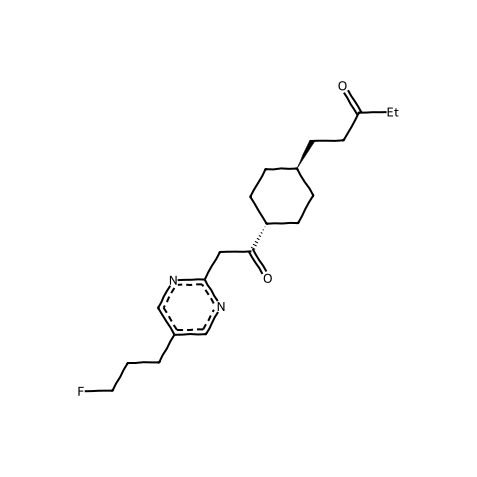 CCC(=O)CC[C@H]1CC[C@H](C(=O)Cc2ncc(CCCF)cn2)CC1